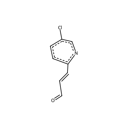 O=CC=Cc1ccc(Cl)cn1